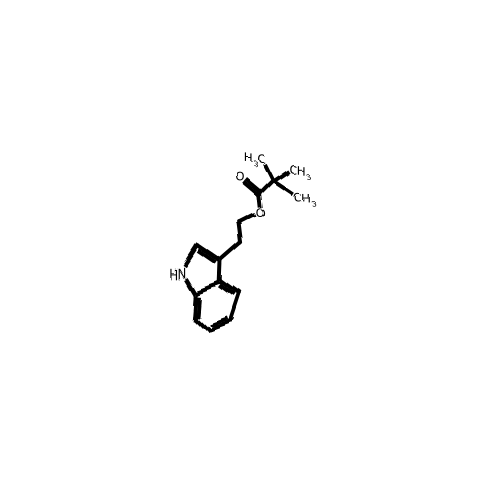 CC(C)(C)C(=O)OCCc1c[nH]c2ccccc12